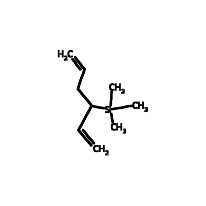 C=CCC(C=C)[Si](C)(C)C